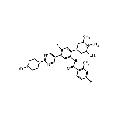 CC(C)N1CCN(c2ncc(-c3cc(NC(=O)c4ccc(F)cc4C(F)(F)F)c(N4CC(C)N(C)C(C)C4)cc3F)cn2)CC1